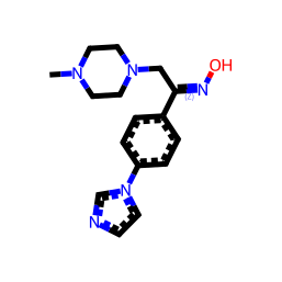 CN1CCN(C/C(=N\O)c2ccc(-n3ccnc3)cc2)CC1